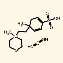 CC1(CC[N+]2(C)CCOCC2)C=CC(S(=O)(=O)O)=CC1.N=C=N